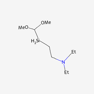 CCN(CC)CC[SiH2]C(OC)OC